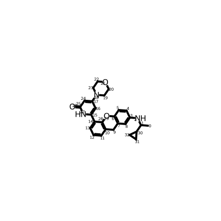 CC(Nc1ccc2c(c1)Cc1cccc(-c3cc(N4CCOCC4)cc(=O)[nH]3)c1O2)C1CC1